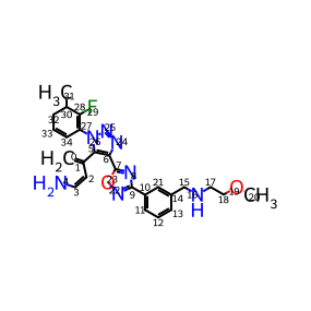 C=C(/C=C\N)c1c(-c2nc(-c3cccc(CNCCOC)c3)no2)nnn1C1=C(F)C(C)CC=C1